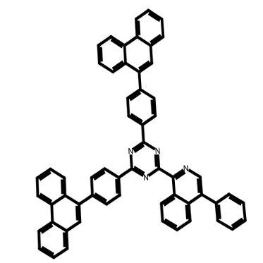 c1ccc(-c2cnc(-c3nc(-c4ccc(-c5cc6ccccc6c6ccccc56)cc4)nc(-c4ccc(-c5cc6ccccc6c6ccccc56)cc4)n3)c3ccccc23)cc1